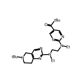 CCN(CCN(CC)c1ncc2c(n1)CCN(C(C)(C)C)C2)c1ncc(C(=O)C(C)(C)C)cn1